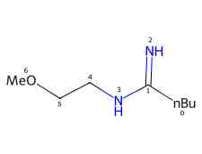 CCCCC(=N)NCCOC